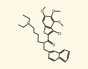 CCN(CC)CCCCN(Cc1ccc2ccccc2c1)C(=O)c1sc2cc(OC)c(OC)c(OC)c2c1Cl